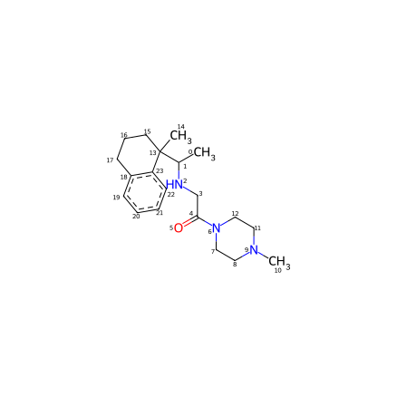 CC(NCC(=O)N1CCN(C)CC1)C1(C)CCCc2ccccc21